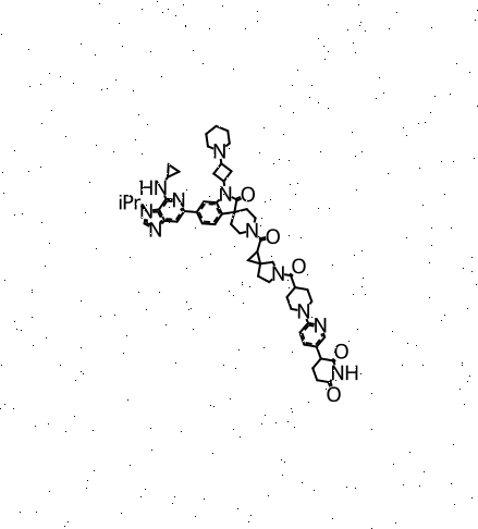 CC(C)n1cnc2cc(-c3ccc4c(c3)N(C3CC(N5CCCCC5)C3)C(=O)C43CCN(C(=O)C4CC45CCN(C(=O)C4CCN(c6ccc(C7CCC(=O)NC7=O)cn6)CC4)C5)CC3)nc(NC3CC3)c21